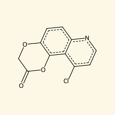 O=C1COc2ccc3nccc(Cl)c3c2O1